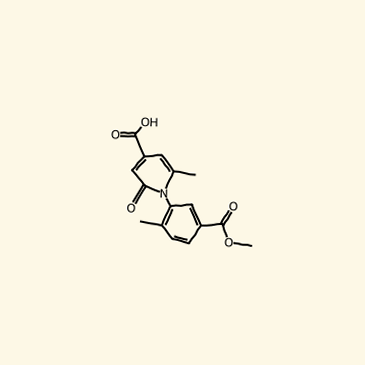 COC(=O)c1ccc(C)c(-n2c(C)cc(C(=O)O)cc2=O)c1